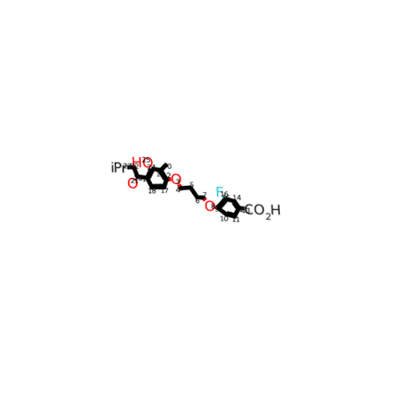 Cc1c(OCCCCOc2ccc(C(=O)O)cc2F)ccc(C(=O)CC(C)C)c1O